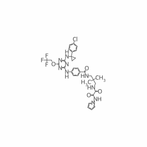 CC(C)(CNC(=O)C(=O)Nn1cccc1)CNC(=O)c1ccc(Nc2nc(NC3(c4ccc(Cl)cc4)CC3)nc(OCC(F)(F)F)n2)cc1